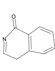 O=C1N=CCc2[c]cccc21